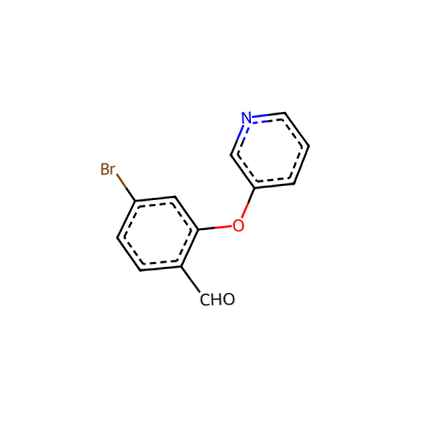 O=Cc1ccc(Br)cc1Oc1cccnc1